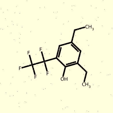 CCc1cc(CC)c(O)c(C(F)(F)C(F)(F)F)c1